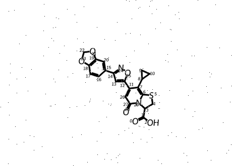 O=C(O)C1CSc2c(C3CC3)c(-c3cc(-c4ccc5c(c4)OCO5)no3)cc(=O)n21